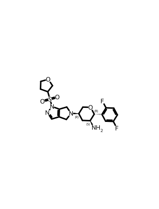 N[C@H]1C[C@@H](N2Cc3cnn(S(=O)(=O)C4CCOC4)c3C2)CO[C@@H]1c1cc(F)ccc1F